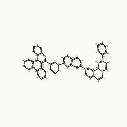 C1=CC(c2nc3ccccc3c3c4ccccc4c4ccccc4c23)=CC(c2ccc3ccc(-c4ccc5c(n4)C4N=C(c6ccccc6)C=CC4C=C5)cc3c2)C1